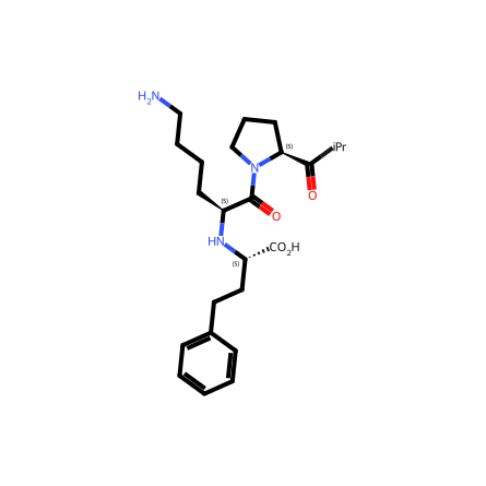 CC(C)C(=O)[C@@H]1CCCN1C(=O)[C@H](CCCCN)N[C@@H](CCc1ccccc1)C(=O)O